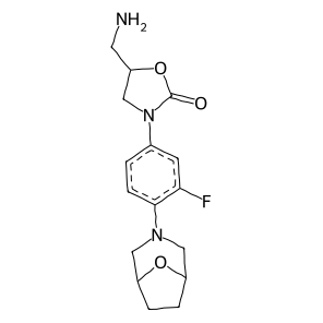 NCC1CN(c2ccc(N3CC4CCC(C3)O4)c(F)c2)C(=O)O1